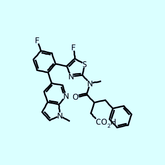 CN(C(=O)C(CC(=O)O)Cc1ccccc1)c1nc(-c2cc(F)ccc2-c2cnc3c(ccn3C)c2)c(F)s1